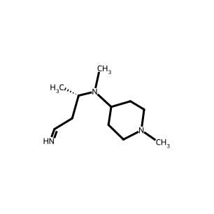 C[C@@H](CC=N)N(C)C1CCN(C)CC1